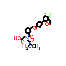 CN(C)C(=O)CN(CC(=O)O)C(=O)c1cccc(COc2ccc(-c3cc(F)c(F)c4ccoc34)cc2)c1